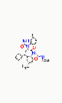 Cc1cccc(N(C(N)=O)C2CC(c3ccccc3)c3cc(C(F)(F)F)ccc3N(CC(=O)NC(C)(C)C)C2=O)c1